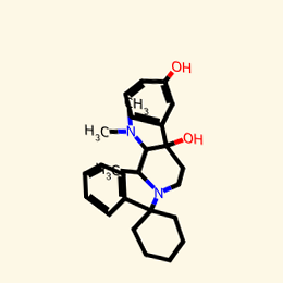 CC1C(N(C)C)C(O)(c2cccc(O)c2)CCN1C1(c2ccccc2)CCCCC1